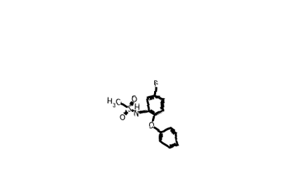 CS(=O)(=O)Nc1cc(F)ccc1Oc1ccccc1